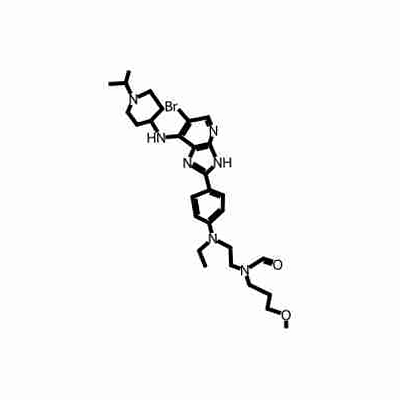 CCN(CCN(C=O)CCCOC)c1ccc(-c2nc3c(NC4CCN(C(C)C)CC4)c(Br)cnc3[nH]2)cc1